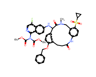 CN1Cc2cc(ccc2S(=O)(=O)C2CC2)NC(=O)CCc2cc(ccc2OCc2ccccc2)C(Nc2ccc3c(N(C(=O)OC(C)(C)C)C(=O)OC(C)(C)C)ncc(F)c3c2)C1=O